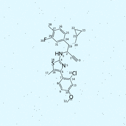 C#CC(Nc1nc(-c2ccc(OC)cc2Cl)c(C)s1)[C@@H](CC1CC1)c1ccc(C)c(F)c1